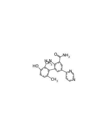 Cc1ccc(O)c(C)c1-c1cc(-c2ccncn2)cc(C(N)=O)c1N